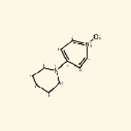 [O-][n+]1ccc(N2CCCCC2)cc1